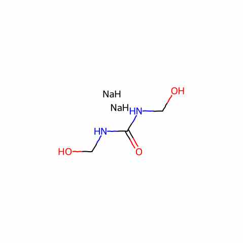 O=C(NCO)NCO.[NaH].[NaH]